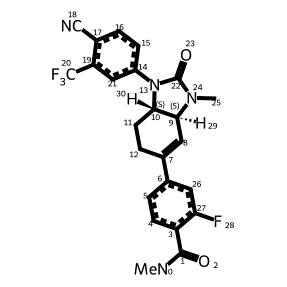 CNC(=O)c1ccc(C2=C[C@H]3[C@H](CC2)N(c2ccc(C#N)c(C(F)(F)F)c2)C(=O)N3C)cc1F